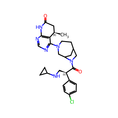 C[C@@H]1CC(=O)Nc2ncnc(N3CCC4CC(C3)N(C(=O)[C@H](CNC3CC3)c3ccc(Cl)cc3)C4)c21